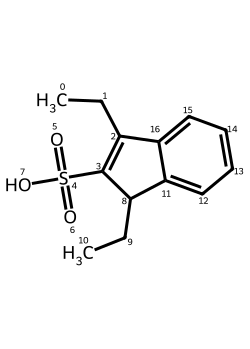 CCC1=C(S(=O)(=O)O)C(CC)c2ccccc21